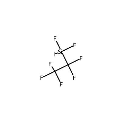 FC(F)(F)C(F)(F)[Si](F)(F)I